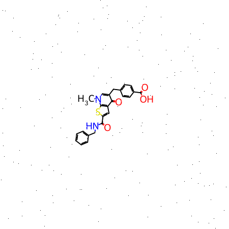 Cn1cc(Cc2ccc(C(=O)O)cc2)c(=O)c2cc(C(=O)NCc3ccccc3)sc21